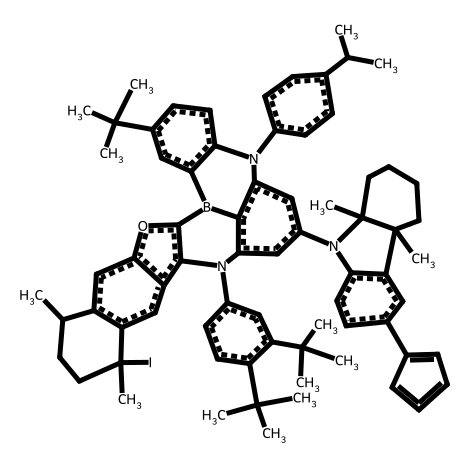 CC(C)c1ccc(N2c3ccc(C(C)(C)C)cc3B3c4oc5cc6c(cc5c4N(c4ccc(C(C)(C)C)c(C(C)(C)C)c4)c4cc(N5c7ccc(C8=CC=C=C8)cc7C7(C)CCCCC57C)cc2c43)C(C)(I)CCC6C)cc1